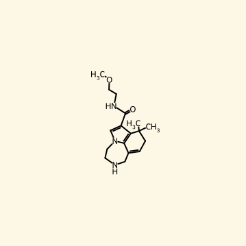 COCCNC(=O)c1cn2c3c1C(C)(C)CC=C3CNCC2